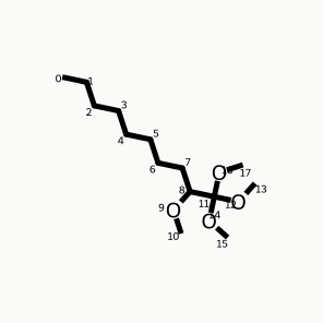 CCCCCCCCC(OC)C(OC)(OC)OC